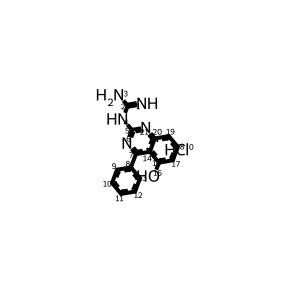 Cl.N=C(N)Nc1nc(-c2ccccc2)c2c(O)cccc2n1